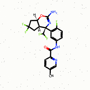 N#Cc1ccc(C(=O)Nc2ccc(F)c([C@@]3(C(F)F)N=C(N)O[C@@H]4CC(F)(F)C[C@@H]43)c2)nc1